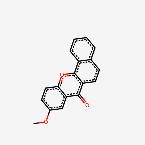 COc1ccc2oc3c(ccc4ccccc43)c(=O)c2c1